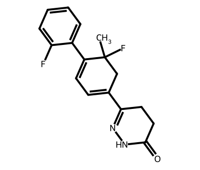 CC1(F)CC(C2=NNC(=O)CC2)=CC=C1c1ccccc1F